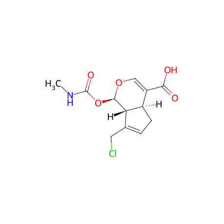 CNC(=O)O[C@H]1OC=C(C(=O)O)[C@H]2CC=C(CCl)[C@H]12